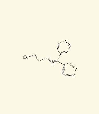 CC(C)(C)CCCO[SiH](c1ccccc1)c1ccccc1